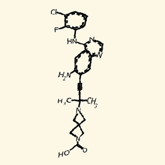 CC(C)(C#Cc1cc2ncnc(Nc3cccc(Cl)c3F)c2cc1N)N1CC2(CN(C(=O)O)C2)C1